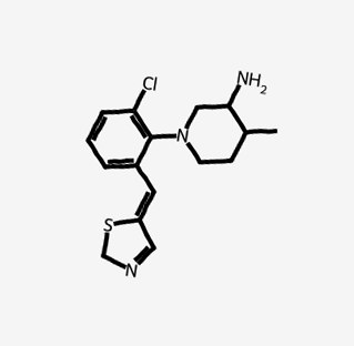 CC1CCN(c2c(Cl)cccc2C=C2C=NCS2)CC1N